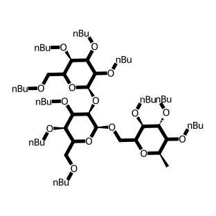 CCCCOCC1O[C@H](O[C@@H]2C(OCCCC)[C@H](OCCCC)C(COCCCC)O[C@@H]2OCC2O[C@H](C)C(OCCCC)[C@@H](OCCCC)[C@@H]2OCCCC)C(OCCCC)C(OCCCC)[C@@H]1OCCCC